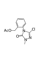 CC(=O)OCc1ccccc1-n1c(Cl)nn(C)c1=O